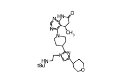 C[C@@H]1CC(=O)Nc2ncnc(N3CCC(c4nc(C5CCOCC5)cn4CCNC(C)(C)C)CC3)c21